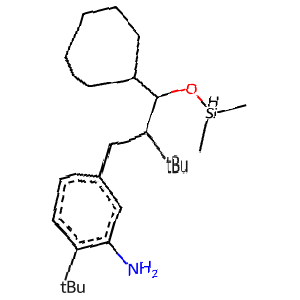 C[SiH](C)OC(C1CCCCC1)C(Cc1ccc(C(C)(C)C)c(N)c1)C(C)(C)C